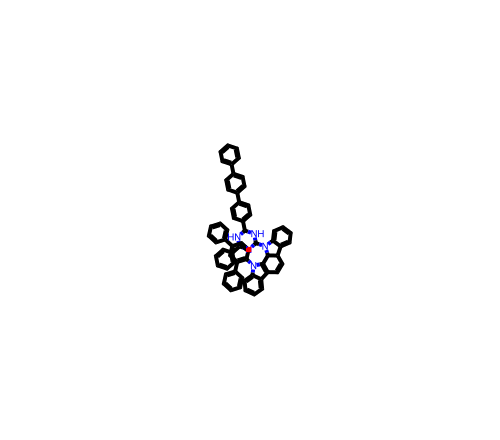 C1=CC2c3ccccc3N(C3N=C(c4ccccc4)NC(c4ccc(-c5ccc(-c6ccccc6)cc5)cc4)N3)C2c2c1c1ccccc1n2-c1ccc(-c2ccccc2)cc1-c1ccccc1